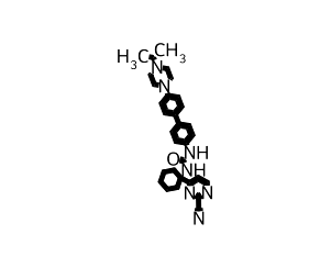 CC(C)N1CCN(c2ccc(-c3ccc(NC(=O)NC4(c5ccnc(C#N)n5)CCCCC4)cc3)cc2)CC1